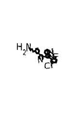 NCCCc1cccc(-c2cncc(-c3cc(-c4cc(Cl)ccc4F)nc4ncccc34)c2)c1